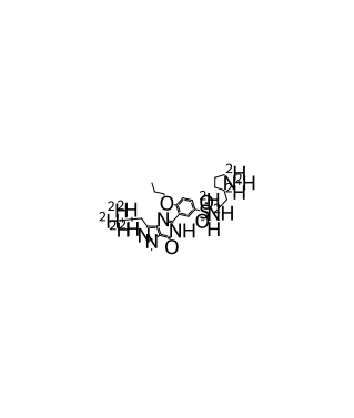 [2H]C([2H])(CC1CCCN1C([2H])([2H])[2H])NS(=O)(=O)c1ccc(OCCC)c(-c2nc3c(CC([2H])([2H])C([2H])([2H])[2H])nn(C)c3c(=O)[nH]2)c1